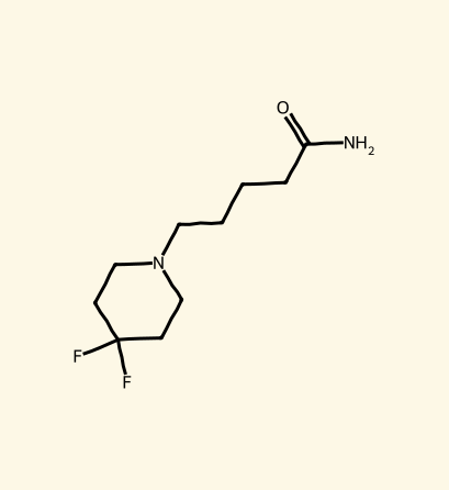 NC(=O)CCCCN1CCC(F)(F)CC1